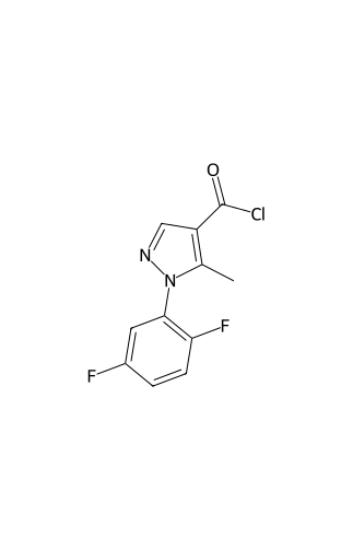 Cc1c(C(=O)Cl)cnn1-c1cc(F)ccc1F